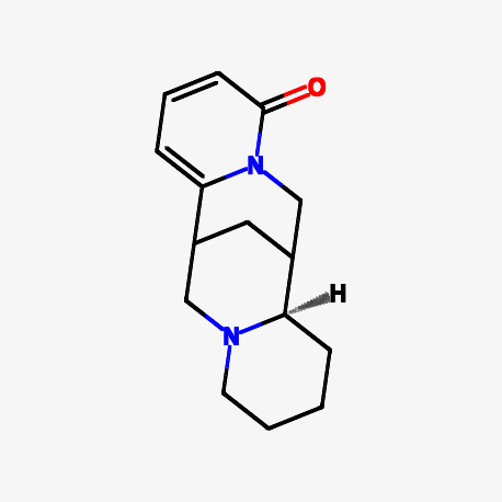 O=c1cccc2n1CC1CC2CN2CCCC[C@H]12